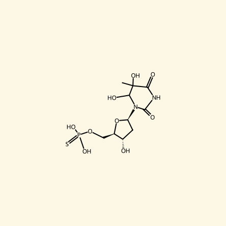 CC1(O)C(=O)NC(=O)N([C@H]2C[C@H](O)[C@@H](COP(O)(O)=S)O2)C1O